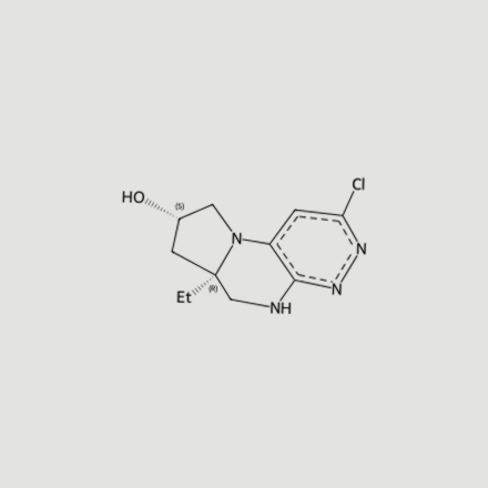 CC[C@@]12CNc3nnc(Cl)cc3N1C[C@@H](O)C2